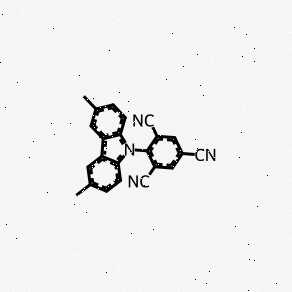 Cc1ccc2c(c1)c1cc(C)ccc1n2-c1c(C#N)cc(C#N)cc1C#N